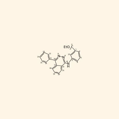 CCOC(=O)c1cccc(Nc2nnc(-c3ccccc3)c3ccccc23)c1